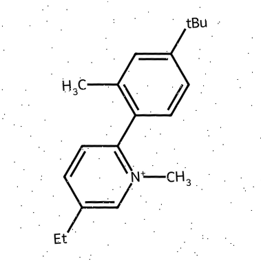 CCc1ccc(-c2ccc(C(C)(C)C)cc2C)[n+](C)c1